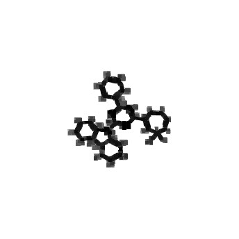 CC1(I)C=CC=CC(c2nc(-c3ccccc3)nc(-n3c4ccccc4c4ccccc43)n2)=C1